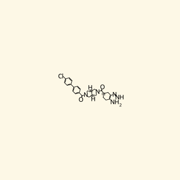 N=NC1=C(N)CC[C@@H](C(=O)N2C[C@H]3CN(C(=O)c4ccc(-c5ccc(Cl)cc5)cc4)C[C@@H]3C2)C1